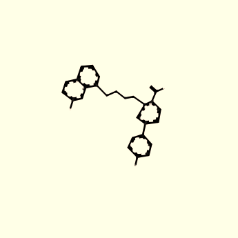 O=C(O)c1ccc(-c2ccc(F)cc2)cc1CCCCc1cccc2ccc(O)cc12